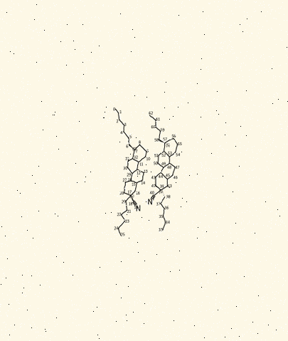 CCCCCCC[C@H]1CCCC2C3CCC4C[C@](C#N)(CCCCCC)CCC4C3CCC21.CCCCCC[C@]1(C#N)CCC2C(CCC3C2CCC2C3CCC[C@@H]2CCCCC)C1